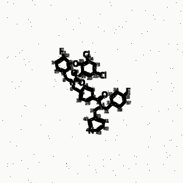 O=C(c1ccc(CN(Cc2ccc(F)cc2)S(=O)(=O)c2cc(Cl)cc(Cl)c2O)cc1)N(Cc1ccc(F)cc1)Cc1cccnc1